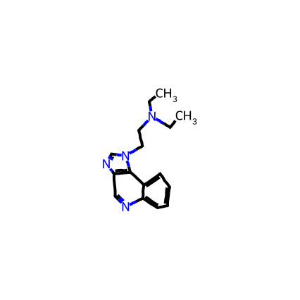 CCN(CC)CCn1cnc2cnc3ccccc3c21